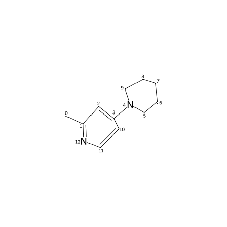 Cc1cc(N2C[CH]CCC2)ccn1